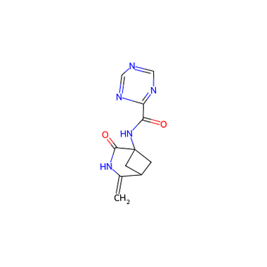 C=C1NC(=O)C2(NC(=O)c3ncncn3)CC1C2